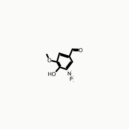 COc1cc(C=O)ccc1O.[N].[P]